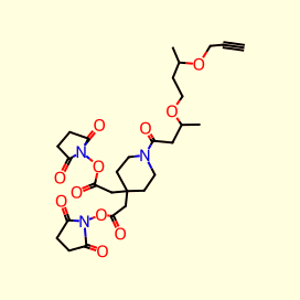 C#CCOC(C)CCOC(C)CC(=O)N1CCC(CC(=O)ON2C(=O)CCC2=O)(CC(=O)ON2C(=O)CCC2=O)CC1